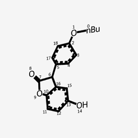 CCCCOc1ccc(C2C(=O)Oc3ccc(O)cc32)cc1